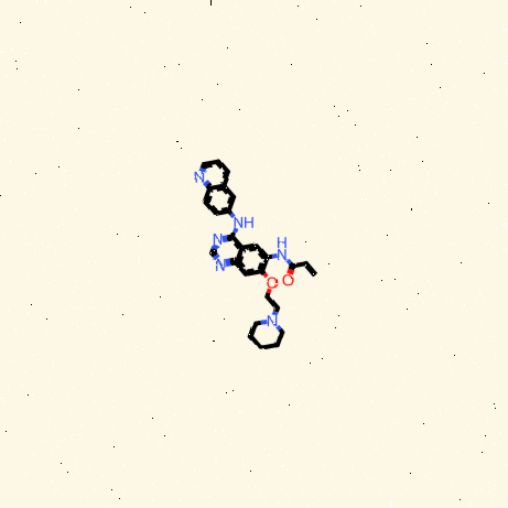 C=CC(=O)Nc1cc2c(Nc3ccc4ncccc4c3)ncnc2cc1OCCN1CCCCC1